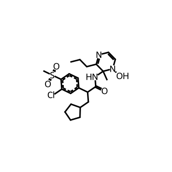 CCCC1=NC=CN(O)C1(C)NC(=O)C(CC1CCCC1)c1ccc(S(C)(=O)=O)c(Cl)c1